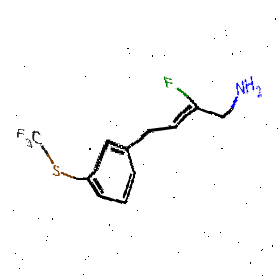 NCC(F)=CCc1cccc(SC(F)(F)F)c1